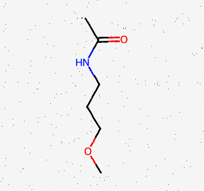 [CH2]C(=O)NCCCOC